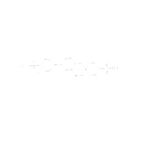 CC(C)(C)c1ccc(-c2ccc3c(c2)C(=O)CC2(CCN(S(N)(=O)=O)CC2)O3)cc1